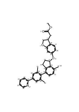 COC(=O)CC1COc2cc(O[C@@H]3CCc4c(-c5c(C)cc(-c6ccccn6)cc5C)ccc(F)c43)ccc21